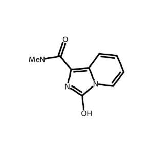 CNC(=O)c1nc(O)n2ccccc12